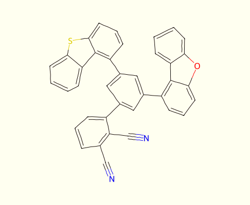 N#Cc1cccc(-c2cc(-c3cccc4oc5ccccc5c34)cc(-c3cccc4sc5ccccc5c34)c2)c1C#N